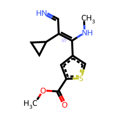 CN/C(=C(\C=N)C1CC1)c1csc(C(=O)OC)c1